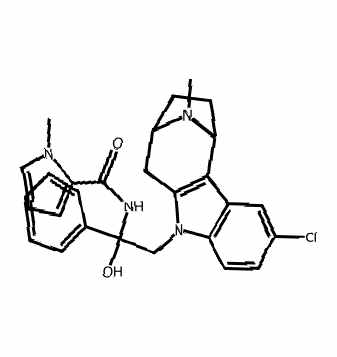 CN1C2CCC1c1c(n(CC(O)(NC(=O)c3cccn3C)c3ccccc3)c3ccc(Cl)cc13)C2